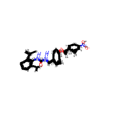 CC(C)c1cccc(C(C)C)c1NC(=O)NCc1ccc(OCc2ccc([N+](=O)[O-])cc2)cc1